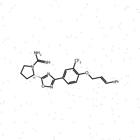 CCCC=CCOc1ccc(-c2noc([C@@H]3CCCN3C(=N)N)n2)cc1C(F)(F)F